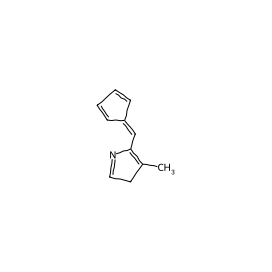 CC1=C(C=C2C=CC=C2)N=CC1